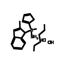 CC1=Cc2ccccc2[CH]1[Zr]([CH3])([SiH3])[C]1=CC=CC1.CCCCCC.Cl.Cl